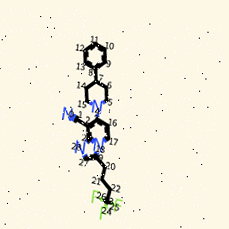 N#Cc1c(N2CCC(c3ccccc3)CC2)ccn2c(CCCC(F)(F)F)cnc12